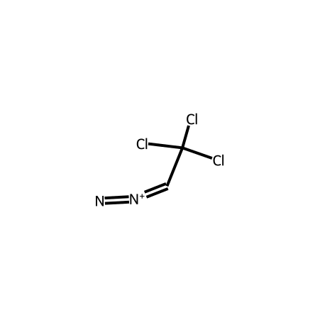 [N-]=[N+]=CC(Cl)(Cl)Cl